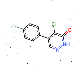 O=c1[nH]ncc(-c2ccc(Cl)cc2)c1Cl